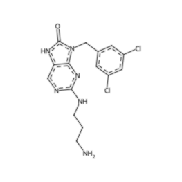 NCCCNc1ncc2[nH]c(=O)n(Cc3cc(Cl)cc(Cl)c3)c2n1